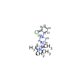 C=CN(C)[C@@](C)(CC)N1CCN(c2ccccc2Cl)CC1